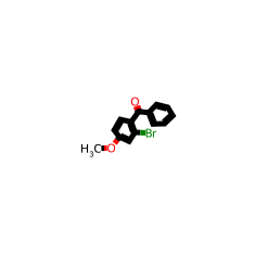 COc1ccc(C(=O)c2ccccc2)c(Br)c1